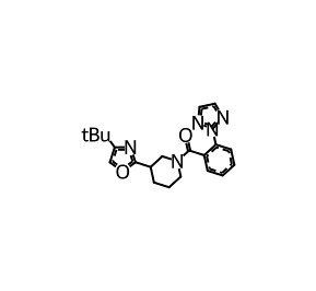 CC(C)(C)c1coc(C2CCCN(C(=O)c3ccccc3-n3nccn3)C2)n1